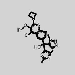 Cc1nc(C)c(C(O)(c2ccc3nc(N4CCC4)c(OC(C)C)c(Cl)c3c2)c2cnnn2C)s1